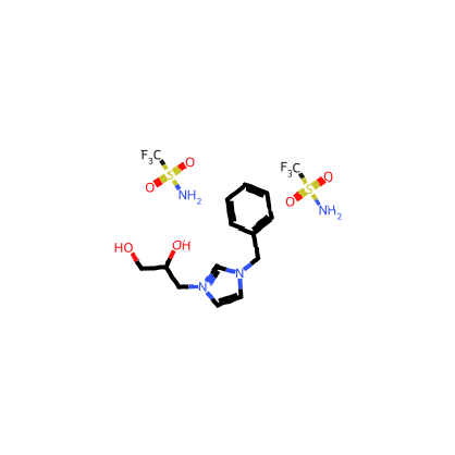 NS(=O)(=O)C(F)(F)F.NS(=O)(=O)C(F)(F)F.OCC(O)C[n+]1ccn(Cc2ccccc2)c1